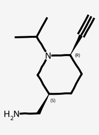 C#C[C@H]1CC[C@@H](CN)CN1C(C)C